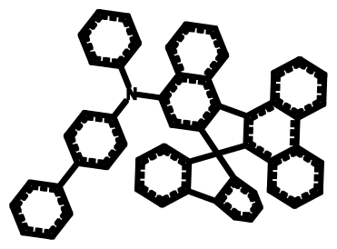 c1ccc(-c2ccc(N(c3ccccc3)c3cc4c(c5ccccc35)-c3c(c5ccccc5c5ccccc35)C43c4ccccc4-c4ccccc43)cc2)cc1